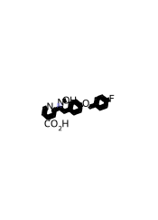 O=C(O)c1ccnc(/C(Cc2ccc(OCc3ccc(F)cc3)cc2)=N/O)c1